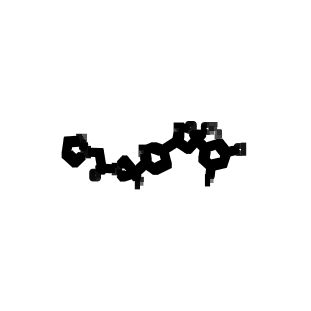 O=C(Cn1cccn1)N1CC(F)(c2ccc(C3=NOC(c4cc(F)cc(Cl)c4)(C(F)(F)F)C3)cn2)C1